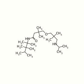 CC(C)NCC(C)(C)COCC(C)(C)CC(=O)NC(C)(C)C(C)(C)C(C)C